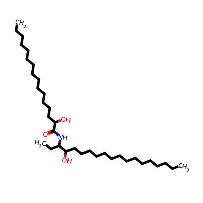 CCCCCCCCCCCCCCCC(O)C(CC)NC(=O)C(O)CCCCCCCCCCCCCC